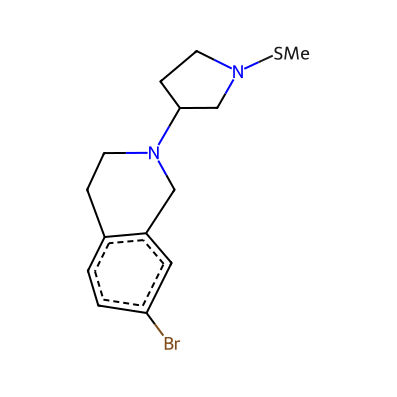 CSN1CCC(N2CCc3ccc(Br)cc3C2)C1